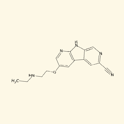 CCNCCOc1cnc2[nH]c3cnc(C#N)cc3c2c1